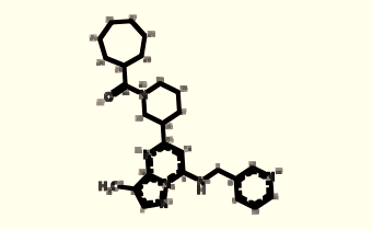 Cc1cnn2c(NCc3cccnc3)cc(C3CCCN(C(=O)C4CCCCCC4)C3)nc12